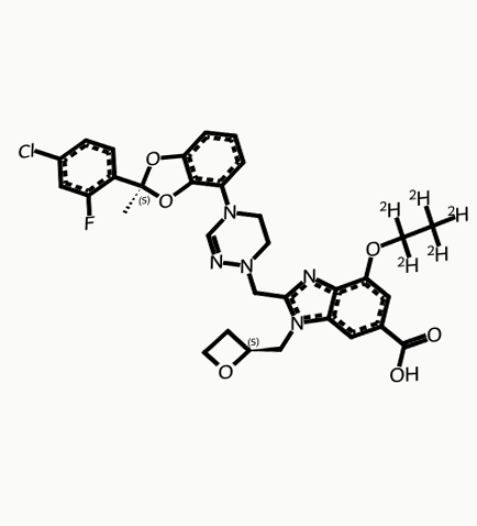 [2H]C([2H])([2H])C([2H])([2H])Oc1cc(C(=O)O)cc2c1nc(CN1CCN(c3cccc4c3O[C@@](C)(c3ccc(Cl)cc3F)O4)C=N1)n2C[C@@H]1CCO1